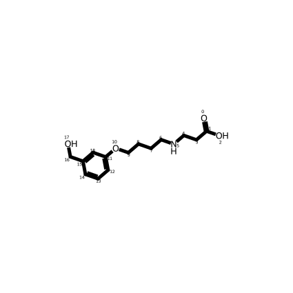 O=C(O)CCNCCCCOc1cccc(CO)c1